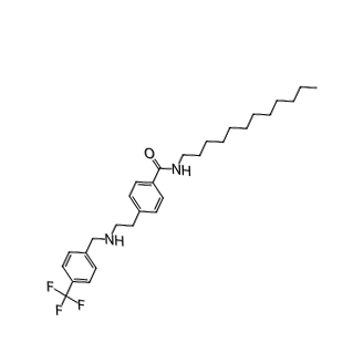 CCCCCCCCCCCCNC(=O)c1ccc(CCNCc2ccc(C(F)(F)F)cc2)cc1